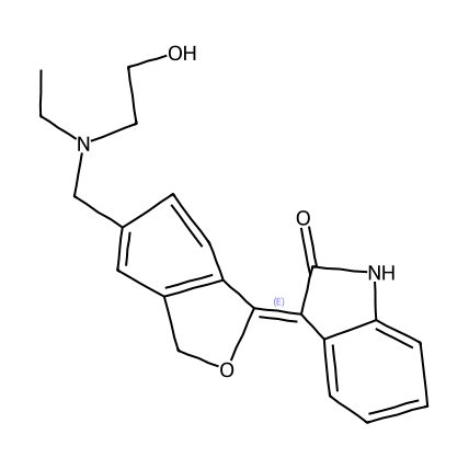 CCN(CCO)Cc1ccc2c(c1)CO/C2=C1/C(=O)Nc2ccccc21